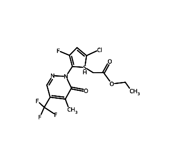 CCOC(=O)C[SH]1C(Cl)=CC(F)=C1n1ncc(C(F)(F)F)c(C)c1=O